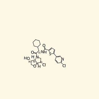 O=C(N[C@H](C(=O)N1C[C@H](Cl)[C@H]2OC[C@H](O)[C@H]21)C1CCCCC1)c1ccc(-c2ccc(Cl)nc2)s1